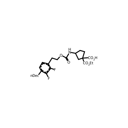 CCCCCCCCCCc1ccc(CCOC(=O)NC2CCC(C(=O)O)(C(=O)OCC)C2)c(F)c1F